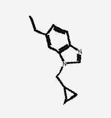 CCc1ccc2ncn(CC3CC3)c2c1